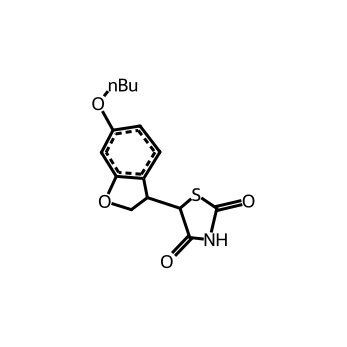 CCCCOc1ccc2c(c1)OCC2C1SC(=O)NC1=O